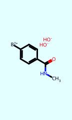 [B+2]c1ccc(C(=O)NC)cc1.[OH-].[OH-]